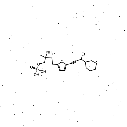 CCC(C#Cc1ccc(CCC(C)(N)COP(=O)(O)O)o1)C1CCCCC1